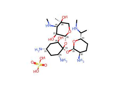 CNC(C)[C@@H]1CC[C@@H](N)[C@@H](O[C@]2(O[C@H]3OC[C@](C)(O)[C@H](NC)[C@@H]3O)[C@H](N)C[C@H](N)C[C@H]2O)O1.O=S(=O)(O)O